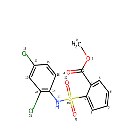 COC(=O)c1ccccc1S(=O)(=O)Nc1ccc(Cl)cc1Cl